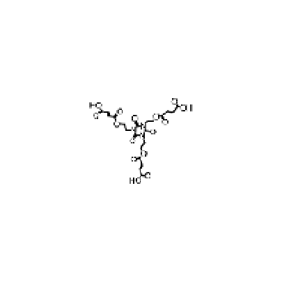 O=C(O)/C=C/C(=O)OCCn1c(=O)n(CCOC(=O)/C=C/C(=O)O)c(=O)n(CCOC(=O)/C=C/C(=O)O)c1=O